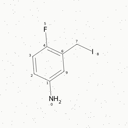 Nc1ccc(F)c(CI)c1